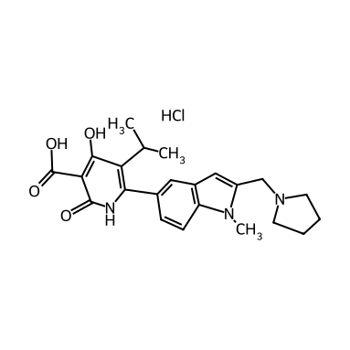 CC(C)c1c(-c2ccc3c(c2)cc(CN2CCCC2)n3C)[nH]c(=O)c(C(=O)O)c1O.Cl